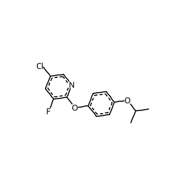 CC(C)Oc1ccc(Oc2ncc(Cl)cc2F)cc1